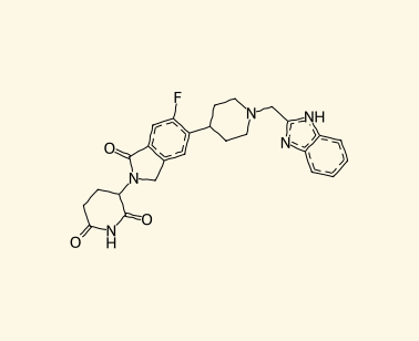 O=C1CCC(N2Cc3cc(C4CCN(Cc5nc6ccccc6[nH]5)CC4)c(F)cc3C2=O)C(=O)N1